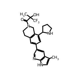 Cc1c[nH]c2ncc(-c3cc4c(c(C5CCCN5)c3)CN(C(=O)C(C)(O)C(F)(F)F)CC4)cc12